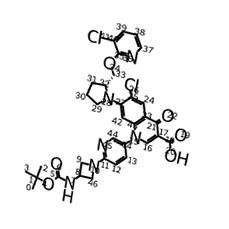 CC(C)(C)OC(=O)NC1CN(c2ccc(-n3cc(C(=O)O)c(=O)c4cc(Cl)c(N5CCC[C@@H]5COc5ncccc5Cl)cc43)cn2)C1